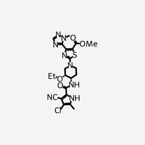 CCO[C@H]1CN(c2nc(-c3ncnn3C)c(C(=O)OC)s2)CC[C@H]1NC(=O)c1[nH]c(C)c(Cl)c1C#N